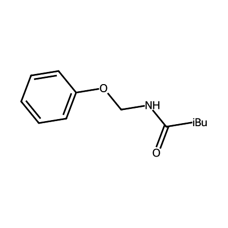 CCC(C)C(=O)NCOc1ccccc1